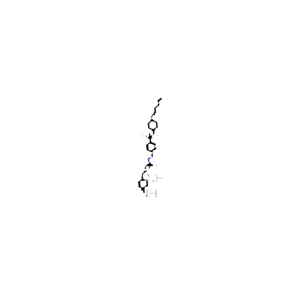 C=CCCCOC1CCC(OC(=O)c2ccc(/C=C/C(=O)OCCc3ccc(N)cc3N)cc2)CC1